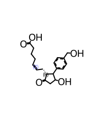 O=C(O)CCC/C=C\C[C@H]1C(=O)CC(O)C1c1ccc(CO)cc1